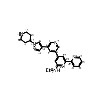 CCNc1cc(-c2cncc(-c3cnn(C4CCNCC4)c3)c2)cc(-c2ccccn2)n1